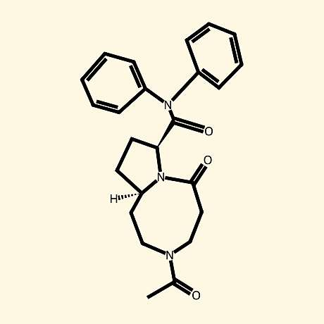 CC(=O)N1CCC(=O)N2[C@H](CC[C@H]2C(=O)N(c2ccccc2)c2ccccc2)CC1